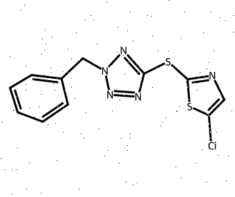 Clc1cnc(Sc2nnn(Cc3ccccc3)n2)s1